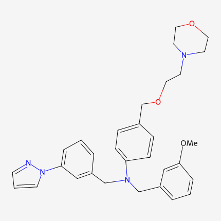 COc1cccc(CN(Cc2cccc(-n3cccn3)c2)c2ccc(COCCN3CCOCC3)cc2)c1